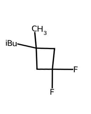 CCC(C)C1(C)CC(F)(F)C1